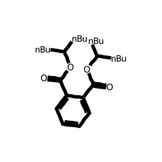 CCCCC(CCCC)OC(=O)c1ccccc1C(=O)OC(CCCC)CCCC